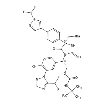 CC(C)(C)C[C@]1(c2ccc(-c3cnn(C(F)F)c3)cc2)NC(=N)N([C@H](COC(=O)NC(C)(C)C(F)(F)F)c2ccc(Cl)c(-n3ncnc3C(F)F)c2)C1=O